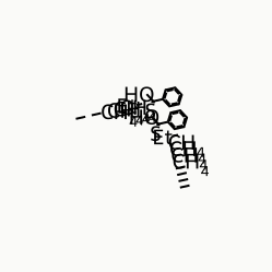 C.C.C.C.C.C.C.C.CC.CC.CC.CC.CC.CC.CCC.CCC.OC(=S)c1ccccc1.OC(=S)c1ccccc1